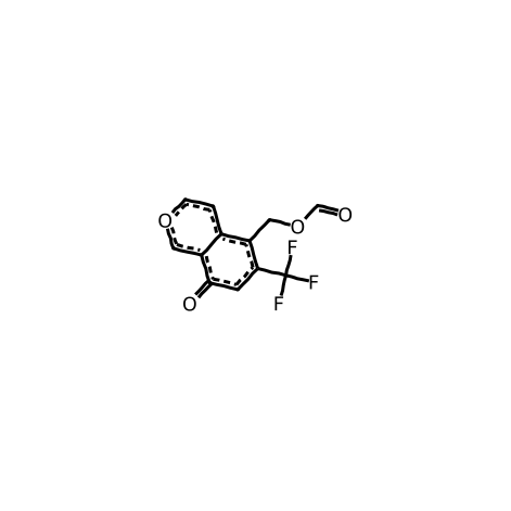 O=COCc1c2ccocc-2c(=O)cc1C(F)(F)F